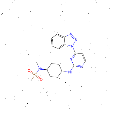 CN([C@H]1CC[C@H](Nc2nccc(-n3nnc4ccccc43)n2)CC1)S(C)(=O)=O